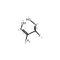 CC(=N/O)/C(F)=N\O